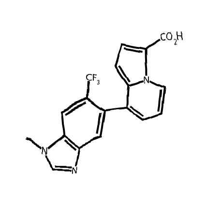 Cn1cnc2cc(-c3cccn4c(C(=O)O)ccc34)c(C(F)(F)F)cc21